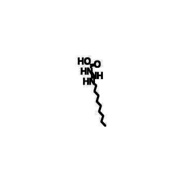 CCCCCCCCCNNNC(=O)O